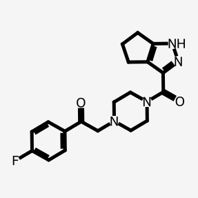 O=C(CN1CCN(C(=O)c2n[nH]c3c2CCC3)CC1)c1ccc(F)cc1